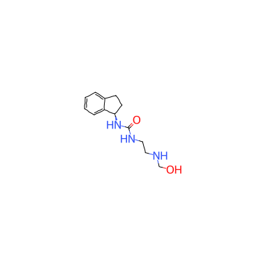 O=C(NCCNCO)N[C@@H]1CCc2ccccc21